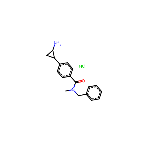 CN(Cc1ccccc1)C(=O)c1ccc(C2CC2N)cc1.Cl